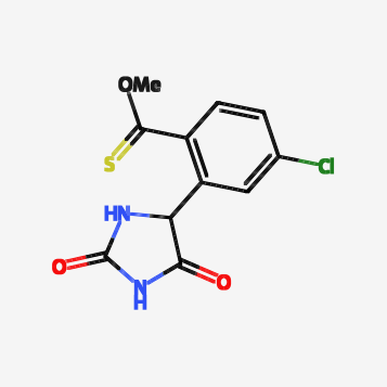 COC(=S)c1ccc(Cl)cc1C1NC(=O)NC1=O